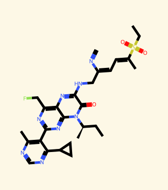 C=N/C(=C\C=C(/C)S(=O)(=O)CC)CNc1nc2c(CF)nc(-c3c(C)ncnc3C3CC3)nc2n([C@H](C)CC)c1=O